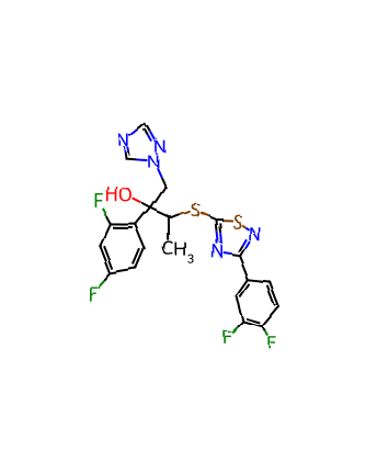 CC(Sc1nc(-c2ccc(F)c(F)c2)ns1)C(O)(Cn1cncn1)c1ccc(F)cc1F